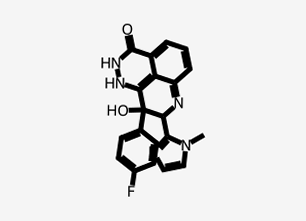 Cn1ccnc1C1N=c2cccc3c2=C(NNC3=O)C1(O)c1ccc(F)cc1